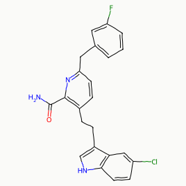 NC(=O)c1nc(Cc2cccc(F)c2)ccc1CCc1c[nH]c2ccc(Cl)cc12